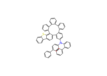 c1ccc(-c2ccc(N(c3ccc4c5ccccc5c5ccccc5c5ccccc5c5c(ccc6c7ccccc7sc65)c4c3)c3ccccc3-c3ccccc3)cc2)cc1